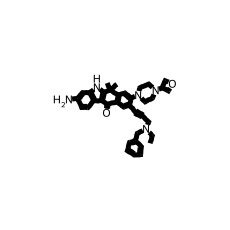 CCN(CC#Cc1cc2c(cc1N1CCN(C3COC3)CC1)C(C)(C)c1[nH]c3cc(N)ccc3c1C2=O)Cc1ccccc1